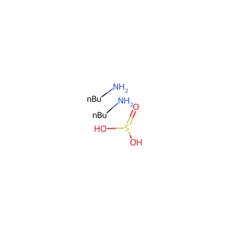 CCCCN.CCCCN.O=S(O)O